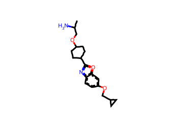 CC(N)COC1CCC(c2nc3ccc(OCC4CC4)cc3o2)CC1